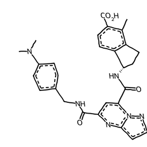 Cc1c(C(=O)O)ccc2c1CC[C@@H]2NC(=O)c1cc(C(=O)NCc2ccc(N(C)C)cc2)nc2ccnn12